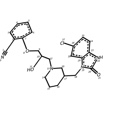 N#Cc1ccccc1OCC(O)CN1CCCC(Cn2c(=O)[nH]c3ccc(Cl)cc32)C1